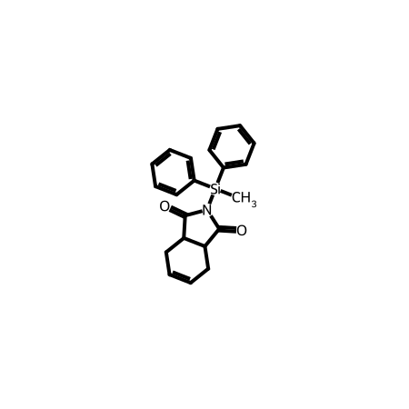 C[Si](c1ccccc1)(c1ccccc1)N1C(=O)C2CC=CCC2C1=O